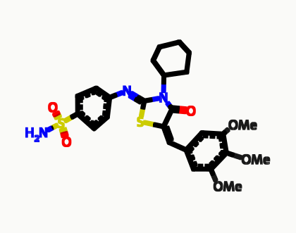 COc1cc(C=C2S/C(=N\c3ccc(S(N)(=O)=O)cc3)N(C3CCCCC3)C2=O)cc(OC)c1OC